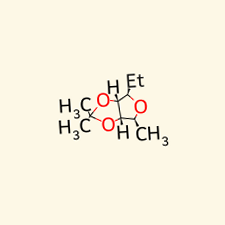 CC[C@H]1O[C@@H](C)[C@@H]2OC(C)(C)O[C@@H]21